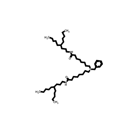 CCCCCC(CCCCC)CCCNC(=O)CCCCCCCN(CCCCCCCC(=O)NCCCC(CCCCC)CCCCC)Cc1ccccc1